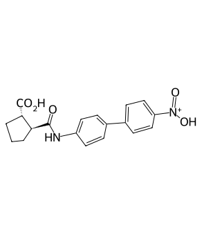 O=C(O)[C@H]1CCC[C@@H]1C(=O)Nc1ccc(-c2ccc([N+](=O)O)cc2)cc1